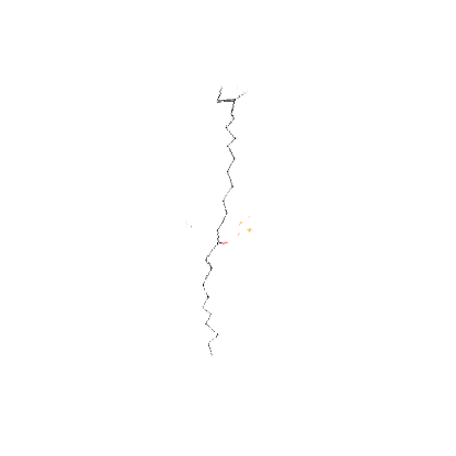 CCCCCCCCCCC(CCCCCCCCCCC(C)CC)OS(=O)(=O)[O-].[Na+]